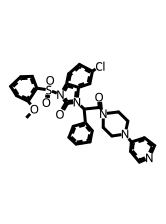 COc1ccccc1S(=O)(=O)n1c(=O)n(C(C(=O)N2CCN(c3ccncc3)CC2)c2ccccc2)c2cc(Cl)ccc21